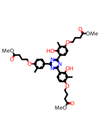 COC(=O)CCCOc1ccc(-c2nc(-c3ccc(OCCCC(=O)OC)c(C)c3O)nc(-c3ccc(OCCCC(=O)OC)c(C)c3O)n2)cc1C